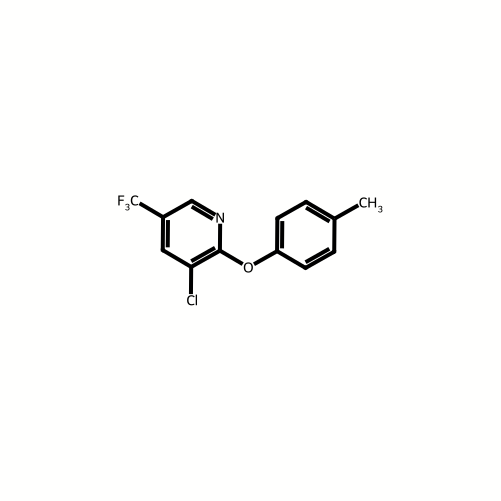 Cc1ccc(Oc2ncc(C(F)(F)F)cc2Cl)cc1